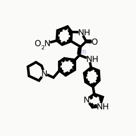 O=C1Nc2ccc([N+](=O)[O-])cc2/C1=C(/Nc1ccc(-c2c[nH]cn2)cc1)c1ccc(CN2CCCCC2)cc1